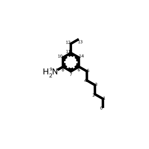 CCCCCCc1cc(N)cc(CC)c1